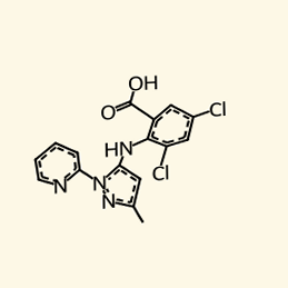 Cc1cc(Nc2c(Cl)cc(Cl)cc2C(=O)O)n(-c2ccccn2)n1